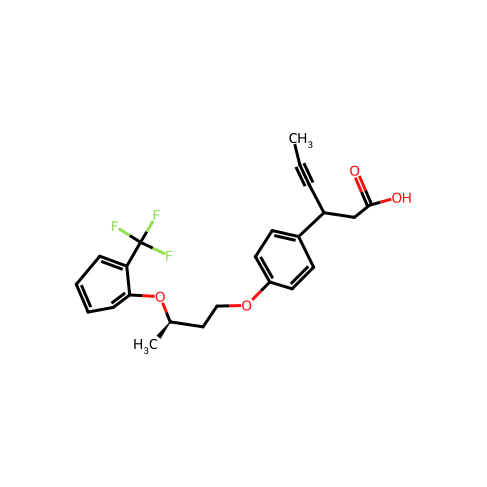 CC#CC(CC(=O)O)c1ccc(OCC[C@@H](C)Oc2ccccc2C(F)(F)F)cc1